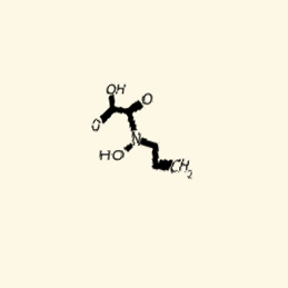 C=CCN(O)C(=O)C(=O)O